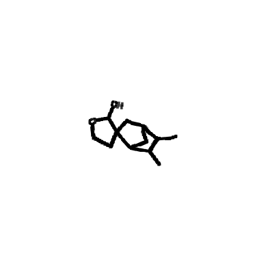 CC1C2CC(C1C)C1(CCOC1O)C2